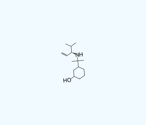 C=C[C@H](NC(C)(C)C1CCCC(O)C1)C(C)C